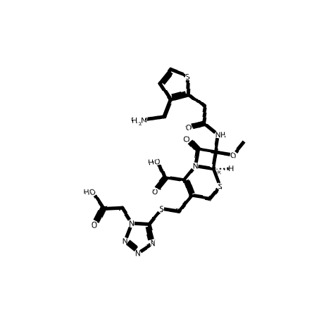 COC1(NC(=O)Cc2sccc2CN)C(=O)N2C(C(=O)O)=C(CSc3nnnn3CC(=O)O)CS[C@@H]21